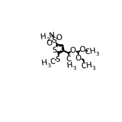 CCOC(OC)OC(C)c1cc(S(N)(=O)=O)sc1SC